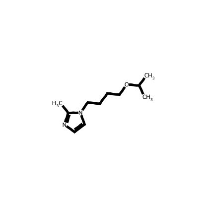 Cc1n[c]cn1CCCCOC(C)C